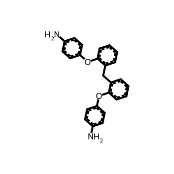 Nc1ccc(Oc2ccccc2Cc2ccccc2Oc2ccc(N)cc2)cc1